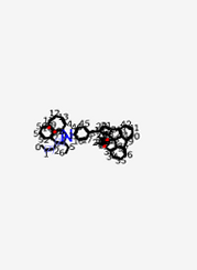 C/C=C\C(=C(/CC)N(C1=CCC=CC=C1)c1ccc(-c2ccc3c(c2)C24C5=C(CC=CC=C5)c5cccc(c52)-c2cccc-3c24)cc1)c1ccccc1